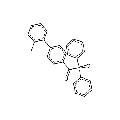 Cc1ccccc1-c1ccc(C(=O)P(=O)(c2ccccc2)c2ccccc2)cc1